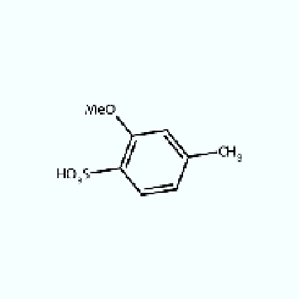 COc1cc(C)ccc1S(=O)(=O)O